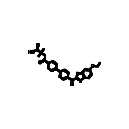 CCOc1ccc2nc(Nc3ccc(-c4ccc(C(=O)CC(C)(C)C(=O)O)cc4)cc3)sc2c1